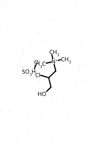 C[N+](C)(C)CC(Cl)CO.O=S(=O)([O-])O